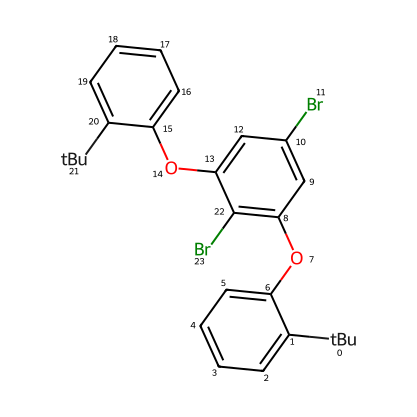 CC(C)(C)c1ccccc1Oc1cc(Br)cc(Oc2ccccc2C(C)(C)C)c1Br